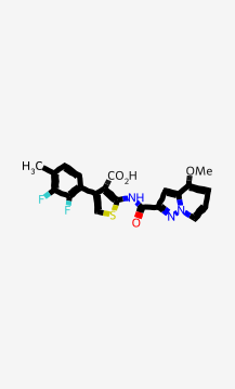 COc1cccn2nc(C(=O)Nc3scc(-c4ccc(C)c(F)c4F)c3C(=O)O)cc12